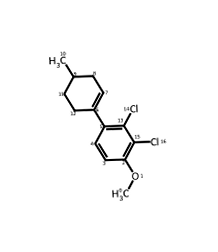 COc1ccc(C2=CCC(C)CC2)c(Cl)c1Cl